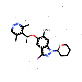 COc1cc2c(cc1O[C@@H](C)c1c(C)cnnc1C)c(I)nn2C1CCCCO1